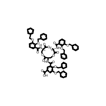 O=C(O)c1cc(OCc2ccccc2)c(OCc2ccccc2)c(C(=O)NC2COC(=O)[C@@H](NC(=O)c3cccc(OCc4ccccc4)c3OCc3ccccc3)COC(=O)[C@@H](NC(=O)c3cccc(OCc4ccccc4)c3OCc3ccccc3)COC2=O)c1